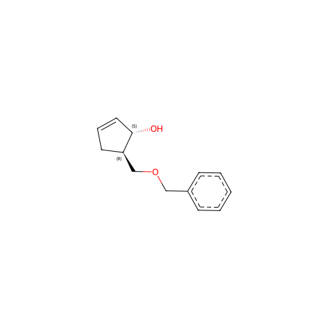 O[C@H]1C=CC[C@@H]1COCc1ccccc1